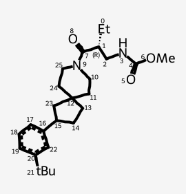 CC[C@H](CNC(=O)OC)C(=O)N1CCC2(CCC(c3cccc(C(C)(C)C)c3)C2)CC1